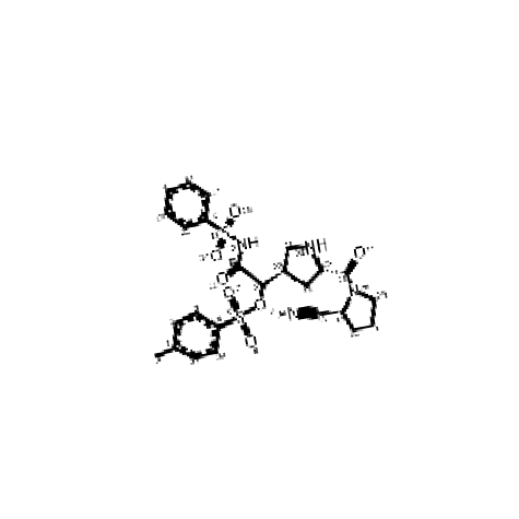 Cc1ccc(S(=O)(=O)OC(C(=O)NS(=O)(=O)c2ccccc2)[C@H]2CN[C@H](C(=O)N3CCC[C@H]3C#N)C2)cc1